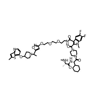 CN[C@@H](C)C(=O)N[C@H](C(=O)N1CCN(C(=O)c2c(C(=O)NCCOCCOCCOc3cc(C(C)N4CCC(Oc5ccnc6cc(C)sc56)CC4)on3)c3cc(F)c(F)cc3n2C)CC1)C1CCCCC1